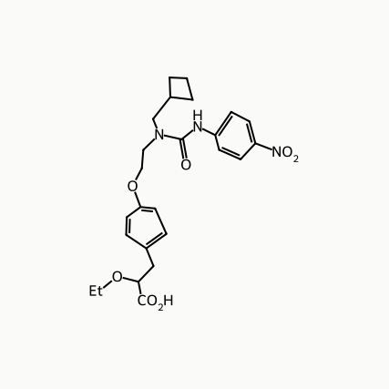 CCOC(Cc1ccc(OCCN(CC2CCC2)C(=O)Nc2ccc([N+](=O)[O-])cc2)cc1)C(=O)O